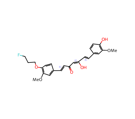 COc1cc(/C=C/C(O)=C/C(=O)/C=C/c2ccc(OCCCF)c(OC)c2)ccc1O